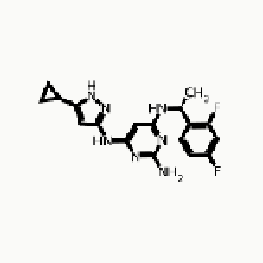 C[C@H](Nc1cc(Nc2cc(C3CC3)[nH]n2)nc(N)n1)c1ccc(F)cc1F